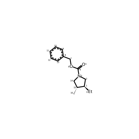 CC[C@@H]1CN(C(=O)OCc2ccccc2)C[C@H]1C